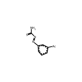 CC(=O)c1cccc(N=NC(N)=S)c1